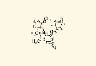 COc1ccccc1Cn1c(C)c(C)c2cc(C#N)nc(OCc3ccc(F)cc3)c21